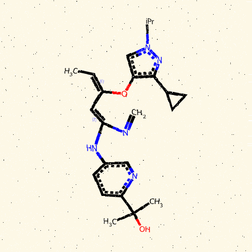 C=N/C(=C\C(=C/C)Oc1cn(C(C)C)nc1C1CC1)Nc1ccc(C(C)(C)O)nc1